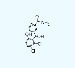 NC(=O)c1cc(C(O)c2c(O)ccc(Cl)c2Cl)ccn1